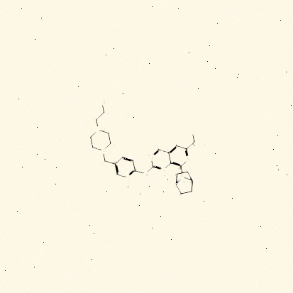 C[C@@H](O)c1cc2cnc(Nc3ccc(CN4CCN(CCO)CC4)cn3)nc2c(N2C3CCC2CC3)n1